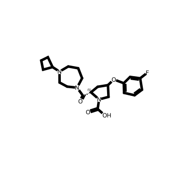 O=C([C@@H]1CC(Oc2cccc(F)c2)CN1C(=O)O)N1CCCN(C2CCC2)CC1